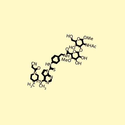 CO[C@@H]1OC(CO)[C@@H](O)[C@H](O[C@@H]2OC(C(=O)NCc3ccc(NC(=S)n4ccc5c(N(C)[C@H]6CN(C(=O)CC#N)CC[C@H]6C)ncnc54)cc3)[C@@H](OC)[C@H](O)C2O)C1NC(C)=O